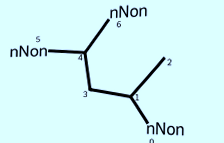 CCCCCCCCCC(C)CC(CCCCCCCCC)CCCCCCCCC